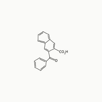 O=C(O)c1cc2ccccc2cc1C(=O)c1ccccc1